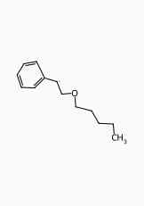 CCCCCOC[CH]c1ccccc1